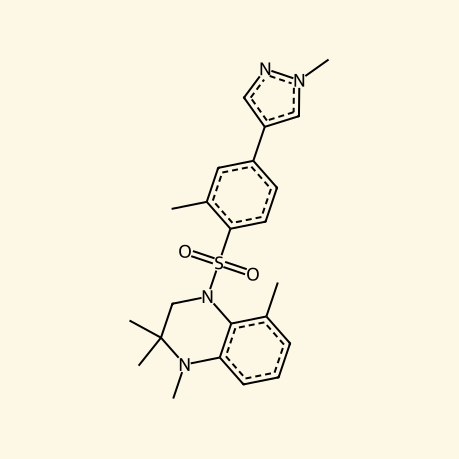 Cc1cc(-c2cnn(C)c2)ccc1S(=O)(=O)N1CC(C)(C)N(C)c2cccc(C)c21